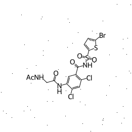 CC(=O)NCC(=O)Nc1cc(C(=O)NS(=O)(=O)c2ccc(Br)s2)c(Cl)cc1Cl